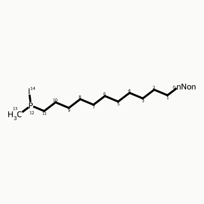 CCCCCCCCCCCCCCCCCCCCP(C)I